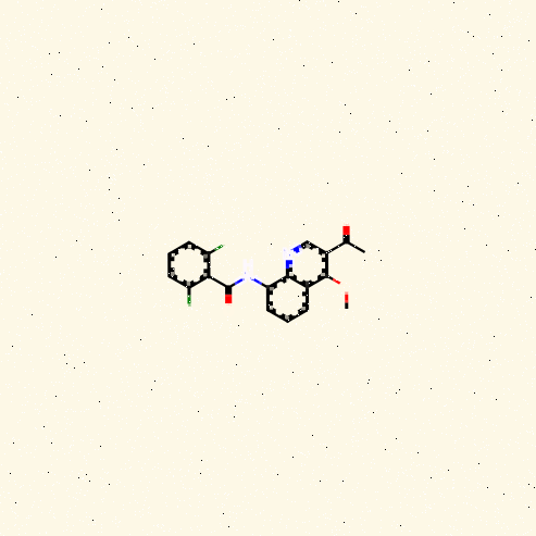 COc1c(C(C)=O)cnc2c(NC(=O)c3c(Cl)cccc3Cl)cccc12